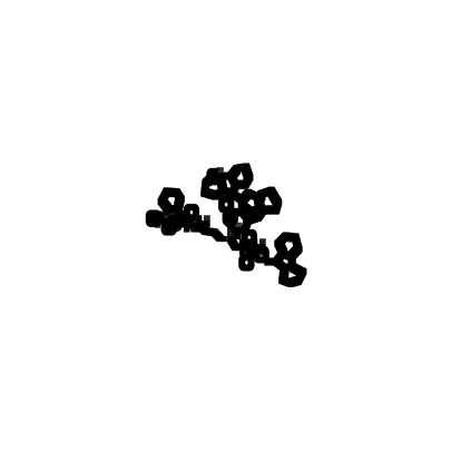 CN(C(=O)[C@@H](CC(=O)OC(c1ccccc1)(c1ccccc1)c1ccccc1Cl)Cc1ccccc1)[C@@H](CCCCNS(=O)(=O)c1ccccc1[N+](=O)[O-])CNC(=O)OCC1c2ccccc2-c2ccccc21